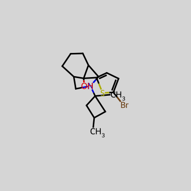 CC1CC(C)(N2CC3CCCC(C2)C3(O)c2ccc(Br)s2)C1